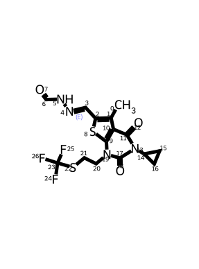 Cc1c(/C=N/NC=O)sc2c1c(=O)n(C1CC1)c(=O)n2CCSC(F)(F)F